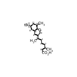 CC(C=C/C=C(\C)C1=Cc2cc(C(C)(C)C)cc(C)c2OC1)=CC(=O)O